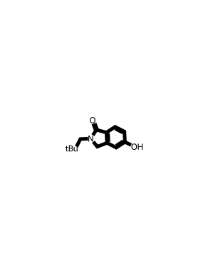 CC(C)(C)CN1Cc2cc(O)ccc2C1=O